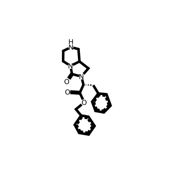 O=C(OCc1ccccc1)[C@@H](Cc1ccccc1)N1CC2CNCCN2C1=O